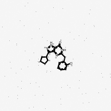 O=c1[nH]c(Cc2ccccc2Cl)nc2c(C3CCCC3)n[nH]c12